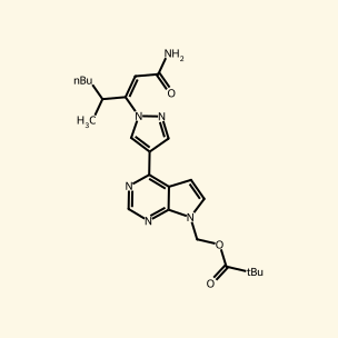 CCCCC(C)/C(=C/C(N)=O)n1cc(-c2ncnc3c2ccn3COC(=O)C(C)(C)C)cn1